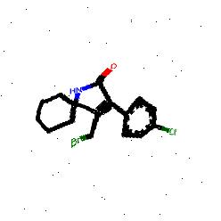 O=C1NC2(CCCCC2)C(CBr)=C1c1ccc(Cl)cc1